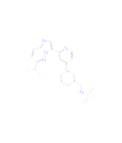 CS(=O)(=O)NCC1CCCN(c2ccnc(-c3cnc4ccc(C(F)F)nn34)c2)C1